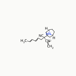 C=CC[C@@H]1C(C(C#N)(C#N)C/C=C/C=C/C)=C[C@H]2CC[C@@H]1N2